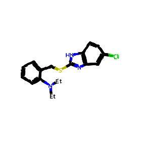 CCN(CC)c1ccccc1CSc1nc2cc(Cl)ccc2[nH]1